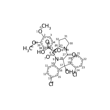 COc1ccc(S(=O)(=O)N2c3ccc(Cl)cc3C(O)(c3ccccc3Cl)C2C(=O)N2CCC[C@@H]2CC(=O)O)cc1OC